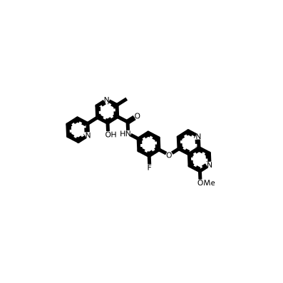 COc1cc2c(Oc3ccc(NC(=O)c4c(C)ncc(-c5ccccn5)c4O)cc3F)ccnc2cn1